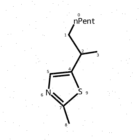 CCCCCCC(C)c1cnc(C)s1